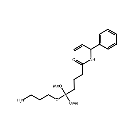 C=CC(NC(=O)CCC[Si](OC)(OC)OCCCN)c1ccccc1